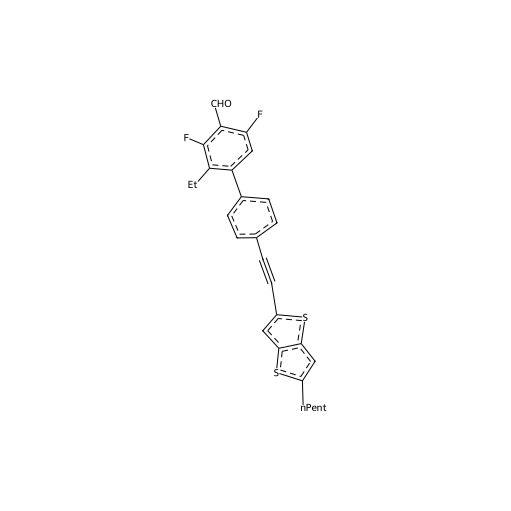 CCCCCc1cc2sc(C#Cc3ccc(-c4cc(F)c(C=O)c(F)c4CC)cc3)cc2s1